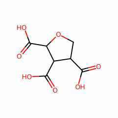 O=C(O)C1COC(C(=O)O)C1C(=O)O